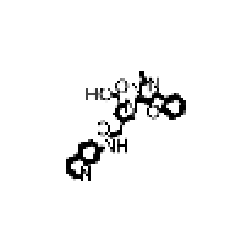 Cc1nc(N2C[C@@H](CC(=O)Nc3ccc4cccnc4c3)C[C@H]2C(=O)O)c2oc3ccccc3c2n1